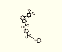 COc1ccc(-c2ccnc3cc(C(=O)NC45CCC(C(=O)OCCCN6CCOCC6)(CC4)CC5)nn23)cc1OC